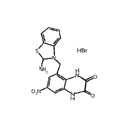 Br.NC1Sc2ccccc2N1Cc1cc([N+](=O)[O-])cc2[nH]c(=O)c(=O)[nH]c12